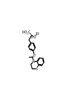 CCO[C@@H](Cc1ccc(OC(C)N2CCSc3ccccc32)cc1)C(=O)O